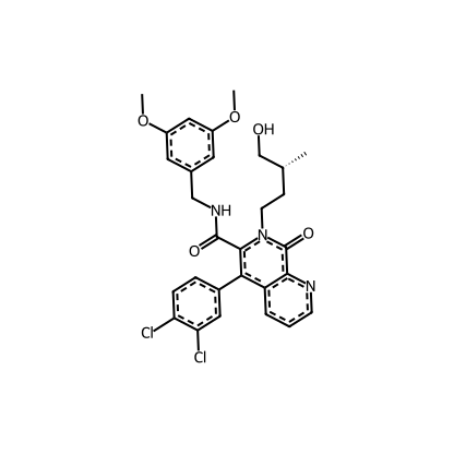 COc1cc(CNC(=O)c2c(-c3ccc(Cl)c(Cl)c3)c3cccnc3c(=O)n2CC[C@@H](C)CO)cc(OC)c1